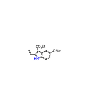 C=Cc1[nH]c2ccc(OC)cc2c1C(=O)OCC